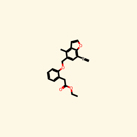 C=Bc1cc(COc2ccccc2CC(=O)OCC)c(C)c2ccoc12